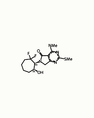 CNc1nc(SC)nc2c1C(=O)N([C@H]1[C@@H](O)CCCCC1(F)F)C2